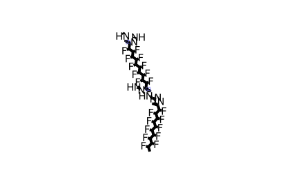 CN/C=C(\N=N)C(F)C(F)C(F)C(F)C(F)C(F)C(F)C(F)C(F)C(F)/C(=C/Nn1cc(C(F)C(F)C(F)C(F)C(F)C(F)C(F)C(F)C(F)C(C)F)nn1)N=N